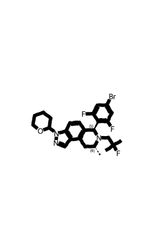 C[C@@H]1Cc2c(ccc3c2cnn3C2CCCCO2)[C@@H](c2c(F)cc(Br)cc2F)N1CC(C)(C)F